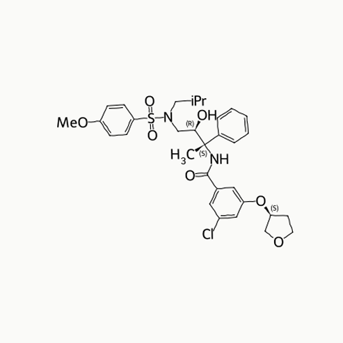 COc1ccc(S(=O)(=O)N(CC(C)C)C[C@@H](O)[C@@](C)(NC(=O)c2cc(Cl)cc(O[C@H]3CCOC3)c2)c2ccccc2)cc1